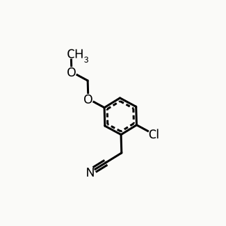 COCOc1ccc(Cl)c(CC#N)c1